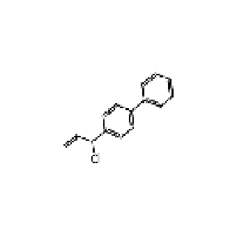 C=CC(Cl)c1ccc(-c2ccccc2)cc1